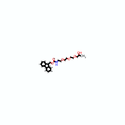 CC(O)COCCOCCOCCNC(=O)OCC1c2ccccc2-c2ccccc21